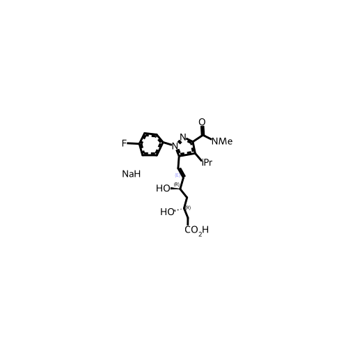 CNC(=O)c1nn(-c2ccc(F)cc2)c(/C=C/[C@H](O)C[C@@H](O)CC(=O)O)c1C(C)C.[NaH]